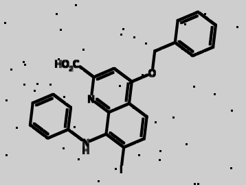 O=C(O)c1cc(OCc2ccccc2)c2ccc(I)c(Nc3ccccc3)c2n1